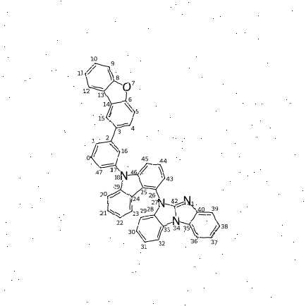 c1cc(-c2ccc3oc4ccccc4c3c2)cc(-n2c3ccccc3c3c(-n4c5ccccc5n5c6ccccc6nc45)cccc32)c1